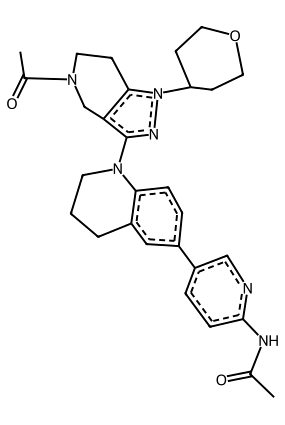 CC(=O)Nc1ccc(-c2ccc3c(c2)CCCN3c2nn(C3CCOCC3)c3c2CN(C(C)=O)CC3)cn1